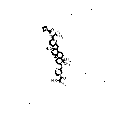 CC(C)C(=O)N1CCOC(OC2CCC34CC35CCC3(C)C6CCC([C@H](OC(=O)N7CCC7)C(C)C)OC6CC3C5CCC4C2(C)C)C1